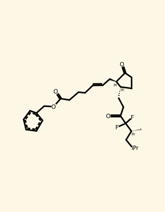 CC(C)C[C@@H](C)C(F)(F)C(=O)CC[C@H]1CCC(=O)[C@@H]1CC=CCCCC(=O)OCc1ccccc1